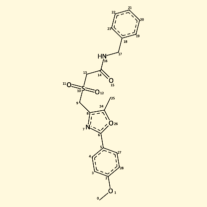 COc1ccc(-c2nc(CS(=O)(=O)CC(=O)NCc3ccccc3)c(C)o2)cc1